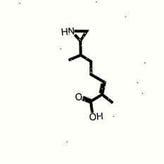 CC(=CCCC(C)C1CN1)C(=O)O